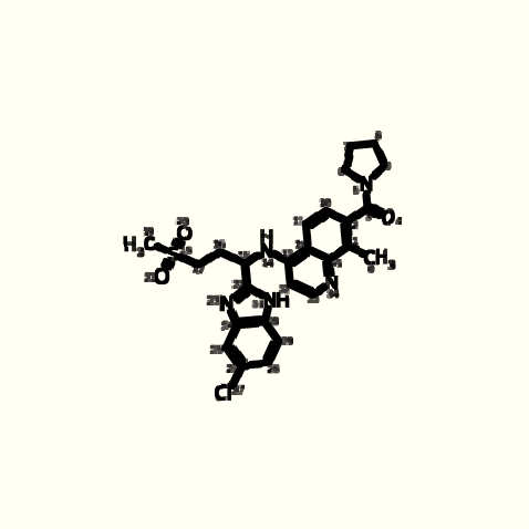 Cc1c(C(=O)N2CCCC2)ccc2c(NC(CCS(C)(=O)=O)c3nc4cc(Cl)ccc4[nH]3)ccnc12